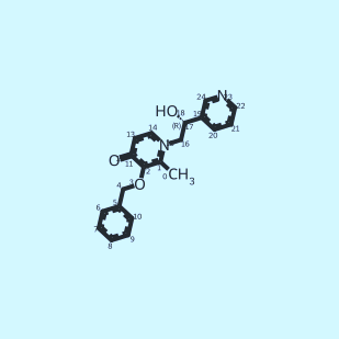 Cc1c(OCc2ccccc2)c(=O)ccn1C[C@H](O)c1cccnc1